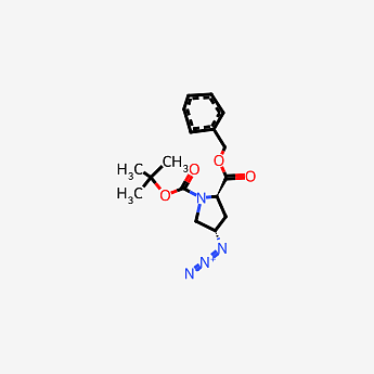 CC(C)(C)OC(=O)N1C[C@@H](N=[N+]=[N-])C[C@@H]1C(=O)OCc1ccccc1